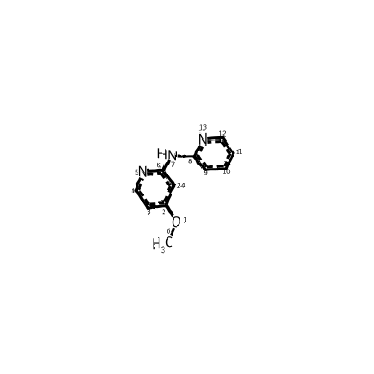 COc1ccnc(Nc2ccccn2)c1